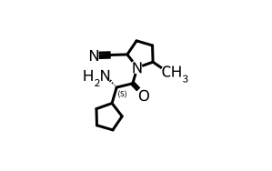 CC1CCC(C#N)N1C(=O)[C@@H](N)C1CCCC1